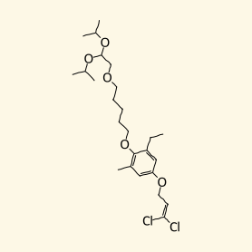 CCc1cc(OCC=C(Cl)Cl)cc(C)c1OCCCCCOCC(OC(C)C)OC(C)C